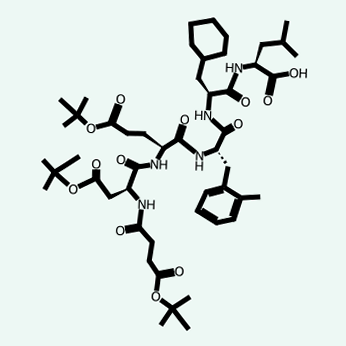 Cc1ccccc1C[C@H](NC(=O)[C@H](CCC(=O)OC(C)(C)C)NC(=O)[C@H](CC(=O)OC(C)(C)C)NC(=O)CCC(=O)OC(C)(C)C)C(=O)N[C@@H](CC1CCCCC1)C(=O)N[C@@H](CC(C)C)C(=O)O